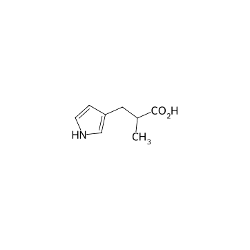 CC(Cc1cc[nH]c1)C(=O)O